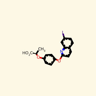 C[C@@H](Oc1ccc(Oc2ccc3ccc(I)cc3n2)cc1)C(=O)O